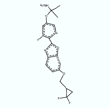 CC(=O)NC(C)(C)Oc1cnc(-c2nc3ccc(OCC4CC4(F)F)cc3o2)c(F)c1